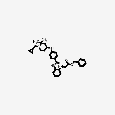 CC1(C)CC(Nc2ccc(C(=O)Nc3ccccc3NCC(=O)OCc3ccccc3)cc2)CCN1CC1CC1